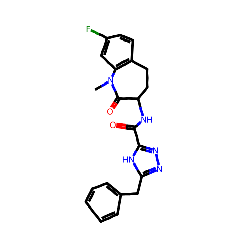 CN1C(=O)C(NC(=O)c2nnc(Cc3ccccc3)[nH]2)CCc2ccc(F)cc21